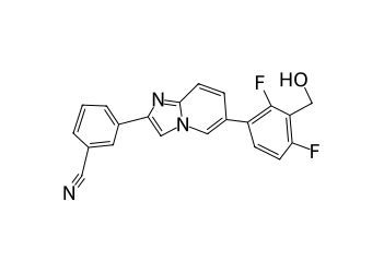 N#Cc1cccc(-c2cn3cc(-c4ccc(F)c(CO)c4F)ccc3n2)c1